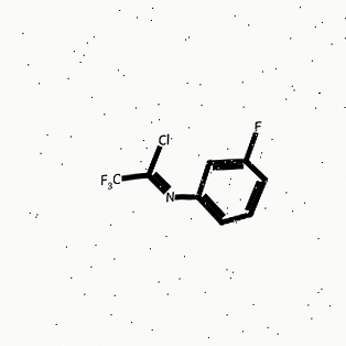 Fc1cccc(N=C(Cl)C(F)(F)F)c1